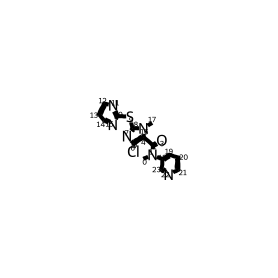 CN(C(=O)c1c(Cl)nc(Sc2ncccn2)n1C)c1cccnc1